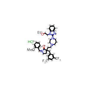 CCOCCn1c(N2CCCN(CCC3(Cc4cc(C(F)(F)F)cc(C(F)(F)F)c4)CCN(Cc4ccccc4OC)C3=O)CC2)nc2ccccc21.Cl